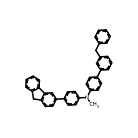 CN(c1ccc(-c2cccc(Cc3ccccc3)c2)cc1)c1ccc(-c2ccc3c(c2)-c2ccccc2C3)cc1